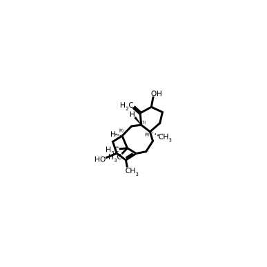 C=C1C(O)CC[C@@]2(C)CCC3=C(C)C(O)C[C@@H](C[C@H]12)C3(C)C